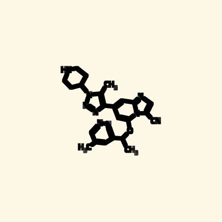 Cc1cnnc(C(C)Oc2cc(-c3nnn(C4CCNCC4)c3C)cc3ncc(C#N)n23)c1